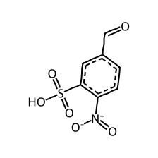 O=Cc1ccc([N+](=O)[O-])c(S(=O)(=O)O)c1